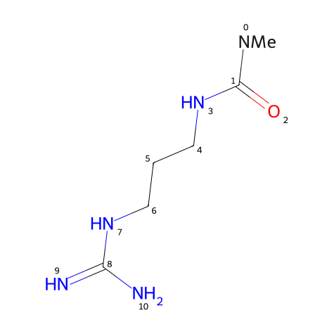 CNC(=O)NCCCNC(=N)N